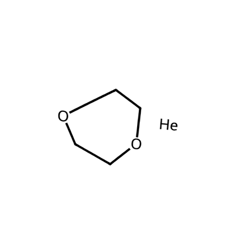 C1COCCO1.[He]